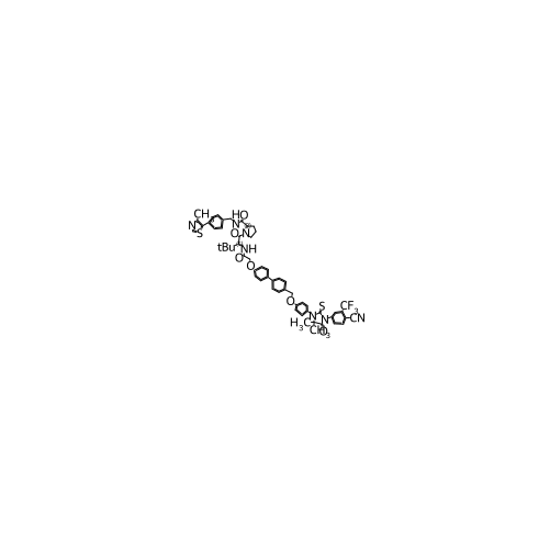 Cc1ncsc1-c1ccc(CNC(=O)[C@H]2CCCN2C(=O)[C@@H](NC(=O)COc2ccc(-c3ccc(COc4ccc(N5C(=S)N(c6ccc(C#N)c(C(F)(F)F)c6)C(=O)C5(C)C)cc4)cc3)cc2)C(C)(C)C)cc1